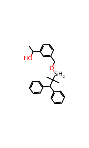 CC(O)c1cccc(CO[SiH2]C(C)(C)C(c2ccccc2)c2ccccc2)c1